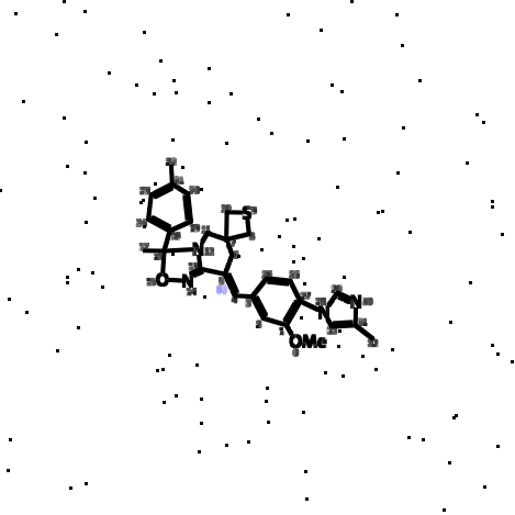 COc1cc(/C=C2\CC3(CSC3)CN3C2=NOC3(C)c2ccc(C)cc2)ccc1-n1cnc(C)c1